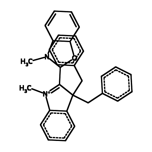 CN1C(C2=[N+](C)c3ccccc3C2(Cc2ccccc2)Cc2ccccc2)OC2C=CC=CC21